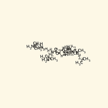 CC(C)CCC[C@@H](C)[C@H]1CC[C@H]2[C@@H]3CC=C4C[C@@H](OC(=O)N(CCCCNCCC(C)(C)N)CCC(C)(C)N)CC[C@]4(C)[C@H]3CC[C@]12C